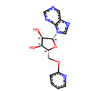 O[C@@H]1[C@H](O)[C@@H](COc2ccccn2)O[C@H]1n1cnc2cncnc21